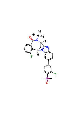 [2H]C([2H])([2H])N1C(=O)c2cccc(F)c2[C@H]2C[C@@H]1c1nc3ccc(-c4ccc(P(C)(C)=O)c(F)c4)cc3n12